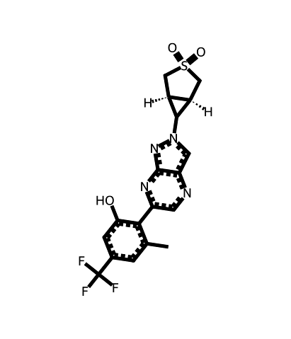 Cc1cc(C(F)(F)F)cc(O)c1-c1cnc2cn(C3[C@H]4CS(=O)(=O)C[C@@H]34)nc2n1